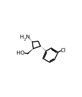 N[C@@H]1C[C@H](c2cccc(Cl)c2)[C@H]1CO